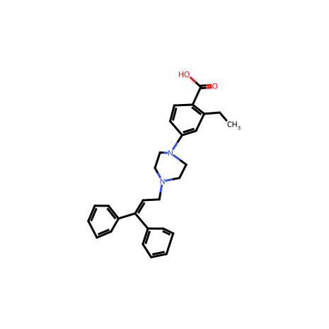 CCc1cc(N2CCN(CC=C(c3ccccc3)c3ccccc3)CC2)ccc1C(=O)O